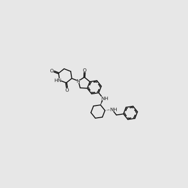 O=C1CCC(N2Cc3cc(N[C@@H]4CCCC[C@H]4NCc4ccccc4)ccc3C2=O)C(=O)N1